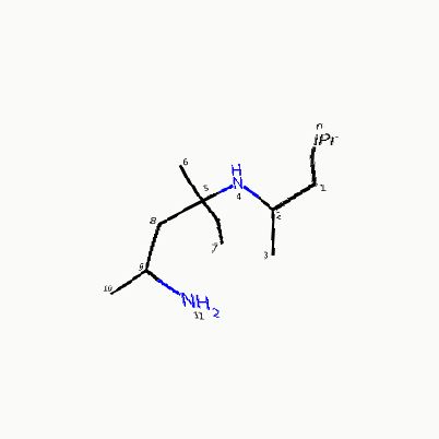 CC(C)CC(C)NC(C)(C)CC(C)N